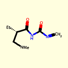 C=NC(=O)NC(=O)[C@@H](CC)CNC